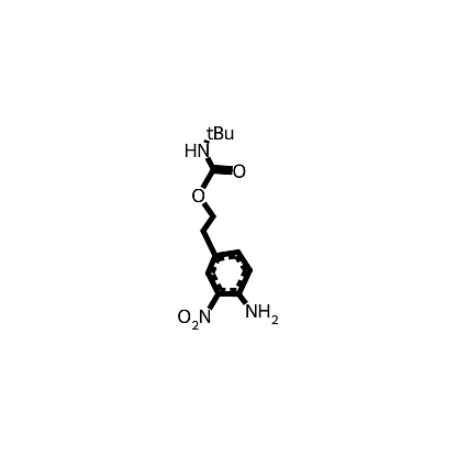 CC(C)(C)NC(=O)OCCc1ccc(N)c([N+](=O)[O-])c1